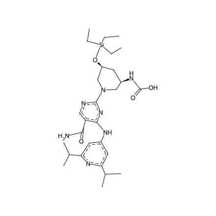 CC[Si](CC)(CC)O[C@H]1C[C@@H](NC(=O)O)CN(c2ncc(C(N)=O)c(Nc3cc(C(C)C)nc(C(C)C)c3)n2)C1